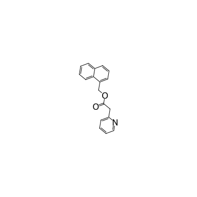 O=C(Cc1ccccn1)OCc1cccc2ccccc12